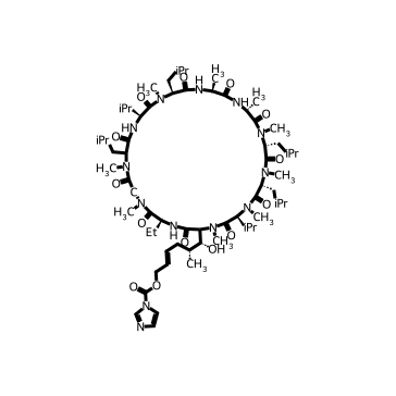 CC[C@@H]1NC(=O)C([C@H](O)[C@H](C)C/C=C/COC(=O)n2ccnc2)N(C)C(=O)[C@H](C(C)C)N(C)C(=O)[C@@H](CC(C)C)N(C)C(=O)[C@@H](CC(C)C)N(C)C(=O)[C@@H](C)NC(=O)[C@H](C)NC(=O)[C@H](CC(C)C)N(C)C(=O)[C@H](C(C)C)NC(=O)C(CC(C)C)N(C)C(=O)CN(C)C1=O